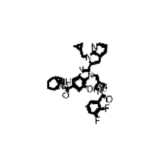 COc1cc(C(=O)N2CC3CCC2[C@@H]3N)cc2nc(-c3cc4cccnc4n3CC3CC3)n(CC3CN(C(=O)c4cccc(F)c4F)C3)c12